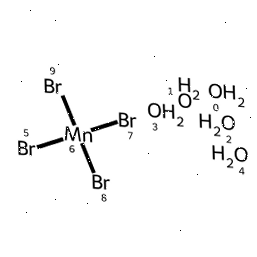 O.O.O.O.O.[Br][Mn]([Br])([Br])[Br]